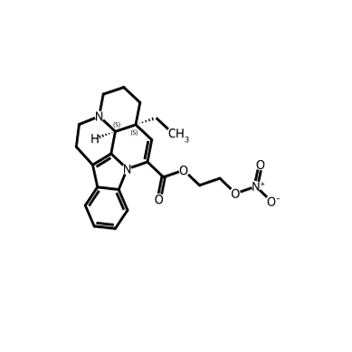 CC[C@@]12C=C(C(=O)OCCO[N+](=O)[O-])n3c4c(c5ccccc53)CCN(CCC1)[C@H]42